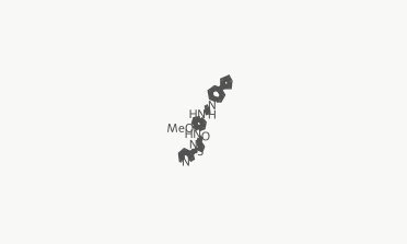 COc1cc(NCCNC2CCCC(C3CCCC3)CC2)ccc1NC(=O)c1csc(-c2cccnc2)n1